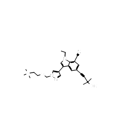 CCn1cc(-c2cnn(COCCS(C)(C)C)c2)c2cc(C#CC(C)(C)O)cc(C#N)c21